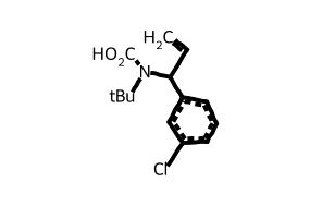 C=CC(c1cccc(Cl)c1)N(C(=O)O)C(C)(C)C